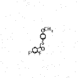 COc1ccc(SCC(=O)c2ccc(F)cc2F)cc1